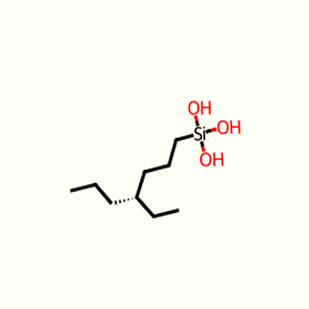 CCC[C@@H](CC)CCC[Si](O)(O)O